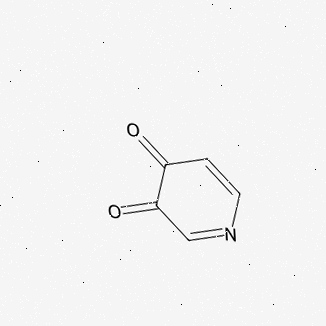 O=C1C=CN=CC1=O